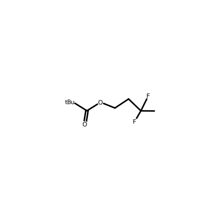 CC(F)(F)CCOC(=O)C(C)(C)C